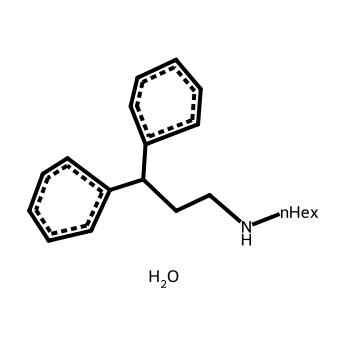 CCCCCCNCCC(c1ccccc1)c1ccccc1.O